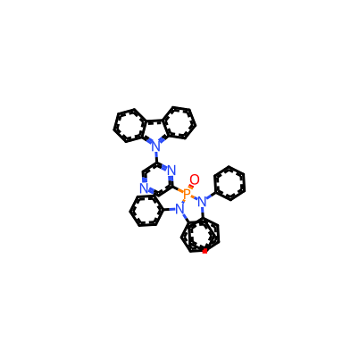 O=P(c1cncc(-n2c3ccccc3c3ccccc32)n1)(N(c1ccccc1)c1ccccc1)N(c1ccccc1)c1ccccc1